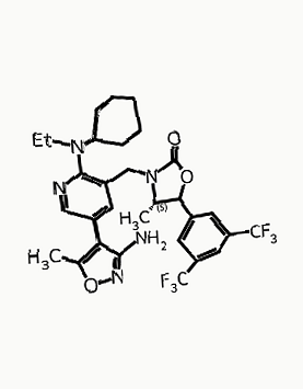 CCN(c1ncc(-c2c(N)noc2C)cc1CN1C(=O)OC(c2cc(C(F)(F)F)cc(C(F)(F)F)c2)[C@@H]1C)C1CCCCC1